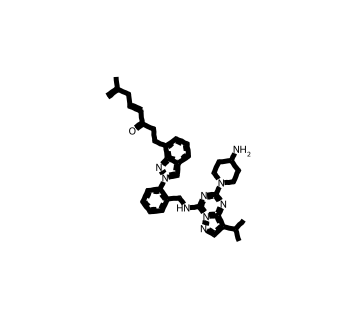 C=C(C)C/C=C/C(=O)CCc1cccc2cn(-c3ccccc3CNc3nc(N4CCC(N)CC4)nc4c(C(C)C)cnn34)nc12